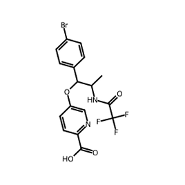 CC(NC(=O)C(F)(F)F)C(Oc1ccc(C(=O)O)nc1)c1ccc(Br)cc1